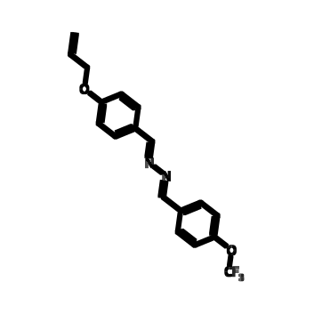 C=CCOc1ccc(C=NN=Cc2ccc(OC(F)(F)F)cc2)cc1